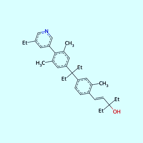 CCc1cncc(-c2c(C)cc(C(CC)(CC)c3ccc(/C=C/C(O)(CC)CC)c(C)c3)cc2C)c1